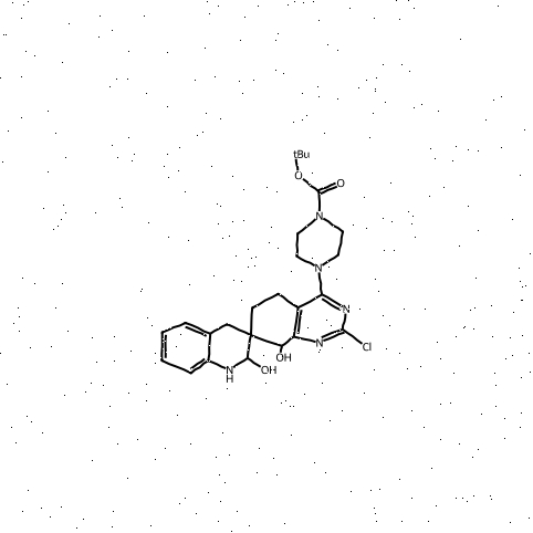 CC(C)(C)OC(=O)N1CCN(c2nc(Cl)nc3c2CCC2(Cc4ccccc4NC2O)C3O)CC1